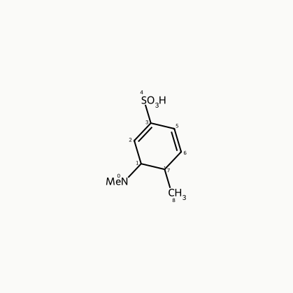 CNC1C=C(S(=O)(=O)O)C=C[C]1C